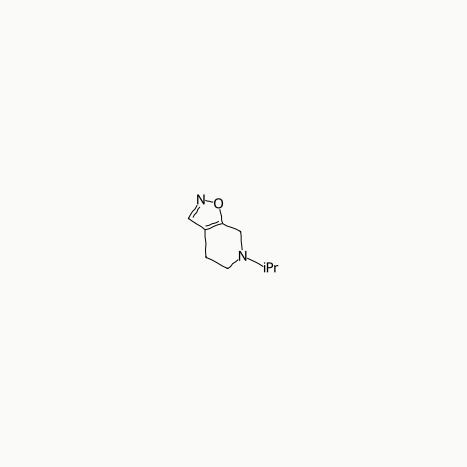 CC(C)N1CCc2cnoc2C1